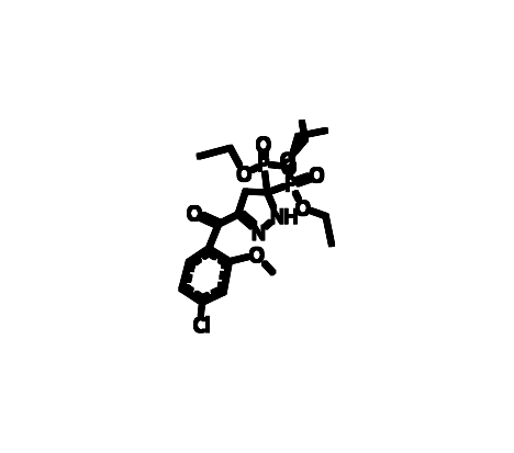 CCOP(=O)(OCC)C1(P(=O)(OCC)OCC)CC(C(=O)c2ccc(Cl)cc2OC)=NN1